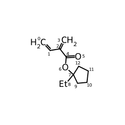 C=CC(=C)C(=O)OC1(CC)CCCC1